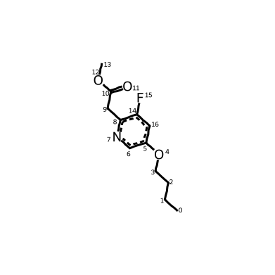 CCCCOc1cnc(CC(=O)OC)c(F)c1